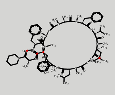 CC(C)C[C@H]1C(=O)N[C@@](C)([C@@H](C)O)C(=O)N[C@H](C(=O)N(C)[C@@H](Cc2ccccc2)C(=O)N(C)[C@@H](Cc2ccccc2)C(=O)N[C@@H](C)C(=O)N2CCCCC2)CC(=O)N(C)CC(=O)N(C)[C@@H](C)C(=O)N(C)[C@@H](Cc2ccccc2)C(=O)N[C@@H](C(C)C)C(=O)N(C)[C@@](C)(CC(C)C)C(=O)N(C)CC(=O)N1C